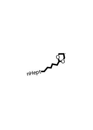 CCCCCCCCCCCCC1OC[CH]CO1